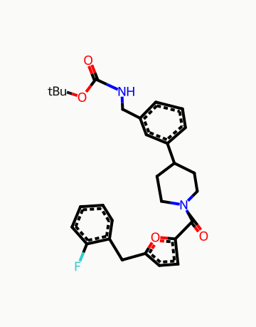 CC(C)(C)OC(=O)NCc1cccc(C2CCN(C(=O)c3ccc(Cc4ccccc4F)o3)CC2)c1